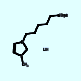 CCCCCCCCCCCCN1C=CN(C)C1.[LiH]